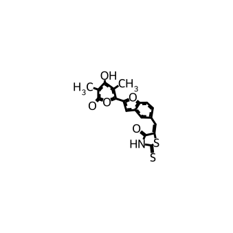 Cc1c(-c2cc3cc(C=C4SC(=S)NC4=O)ccc3o2)oc(=O)c(C)c1O